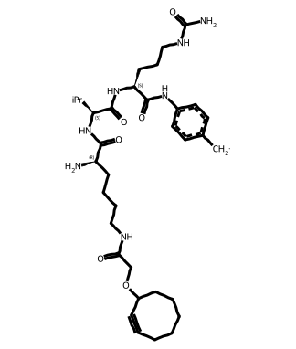 [CH2]c1ccc(NC(=O)[C@H](CCCNC(N)=O)NC(=O)[C@@H](NC(=O)[C@H](N)CCCCNC(=O)COC2C#CCCCCC2)C(C)C)cc1